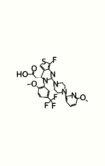 COc1cccc(N2CCN(C3=Nc4c(csc4F)[C@@H](CC(=O)O)N3c3cc(C(F)(F)F)ccc3OC)CC2)n1